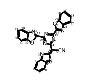 N#CC(=C1N=c2ccccc2=N1)c1nc(-c2nc3ccccc3o2)nc(-c2nc3ccccc3o2)n1